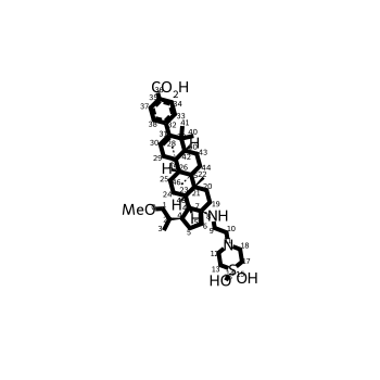 COCC(C)[C@@H]1CC[C@]2(NCCN3CCS(O)(O)CC3)CC[C@]3(C)[C@H](CC[C@@H]4[C@@]5(C)CC=C(c6ccc(C(=O)O)cc6)C(C)(C)[C@@H]5CC[C@]43C)[C@@H]12